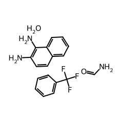 FC(F)(F)c1ccccc1.NC=O.Nc1ccc2ccccc2c1N.O